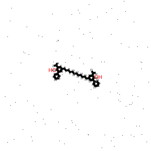 CC(C)c1cc(CCCCCCCCCCCCc2cc(-c3ccccc3)c(O)c(C(C)C)c2)cc(-c2ccccc2)c1O